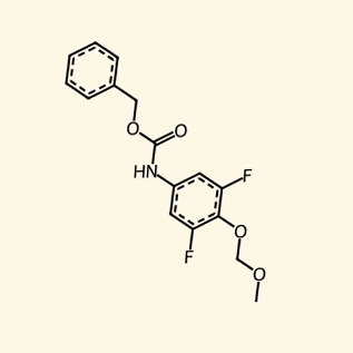 COCOc1c(F)cc(NC(=O)OCc2ccccc2)cc1F